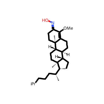 COC1=C2CC[C@H]3[C@@H]4CC[C@H]([C@H](C)CCCC(C)C)[C@@]4(C)CC[C@@H]3[C@@]2(C)CC/C1=N\O